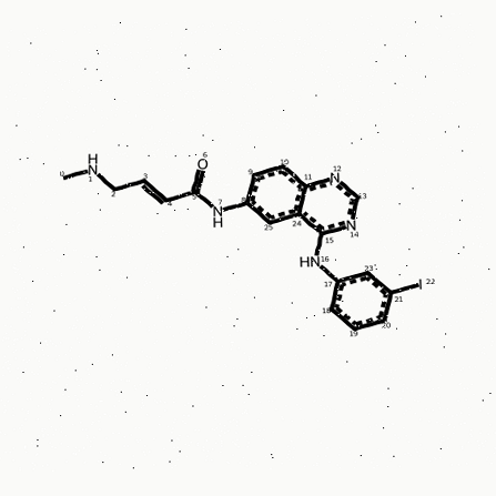 CNCC=CC(=O)Nc1ccc2ncnc(Nc3cccc(I)c3)c2c1